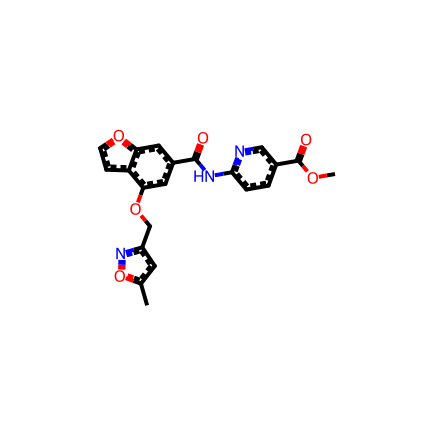 COC(=O)c1ccc(NC(=O)c2cc(OCc3cc(C)on3)c3ccoc3c2)nc1